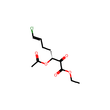 CCOC(=O)C(=O)[C@@H](CCC=CCl)OC(C)=O